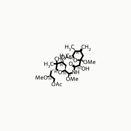 C=C1C[C@](OC)([C@H](O)C(=O)N[C@@H](OC)[C@@H]2C[C@@H](OC(C)=O)C(C)(C)[C@@H](C[C@@H](COC(C)=O)OC)O2)O[C@H](C)[C@@H]1C